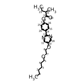 CCCCCCOCCOc1cnc(-c2ccc(OC(=O)C(C)CC)cc2)nc1